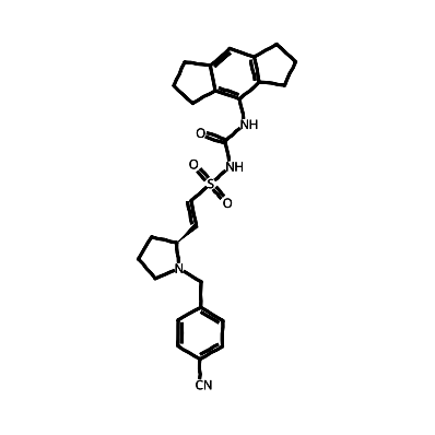 N#Cc1ccc(CN2CCC[C@H]2/C=C/S(=O)(=O)NC(=O)Nc2c3c(cc4c2CCC4)CCC3)cc1